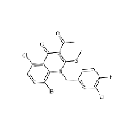 CSc1c(C(C)=O)c(=O)c2c(Cl)ccc(Br)c2n1Cc1ccc(F)c(Cl)c1